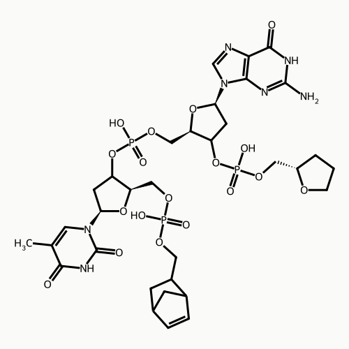 Cc1cn([C@H]2CC(OP(=O)(O)OC[C@H]3O[C@@H](n4cnc5c(=O)[nH]c(N)nc54)CC3OP(=O)(O)OC[C@@H]3CCCO3)[C@@H](COP(=O)(O)OCC3CC4C=CC3C4)O2)c(=O)[nH]c1=O